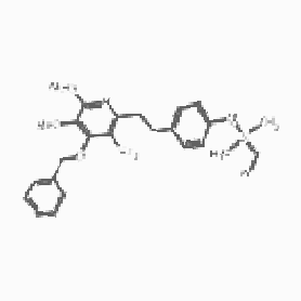 COc1nc(CCc2ccc(O[Si](C)(C)CC(C)C)cc2)c(C)c(OCc2ccccc2)c1OC